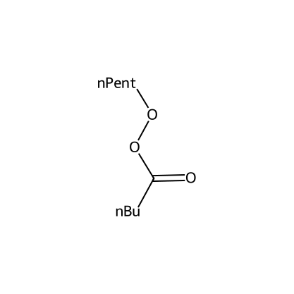 CCCCCOOC(=O)CCCC